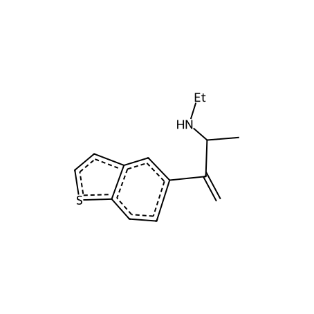 C=C(c1ccc2sccc2c1)C(C)NCC